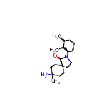 C=C1CCCC(N2CC[C@]3(CC[C@@](C)(N)CC3)C2=O)=C1C